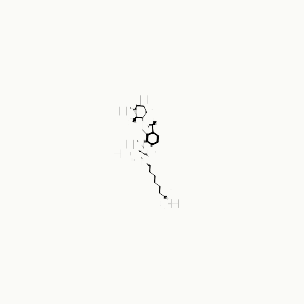 C=C1CCC(N2Cc3c(NC(C)C(=O)NCCCCCCC(=O)O)cccc3C2=O)C(=O)N1